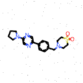 O=S1(=O)CCN(Cc2ccc(-c3cnc(N4CCCC4)cn3)cc2)CC1